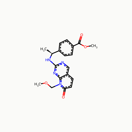 COCn1c(=O)ccc2cnc(N[C@@H](C)c3ccc(C(=O)OC)cc3)nc21